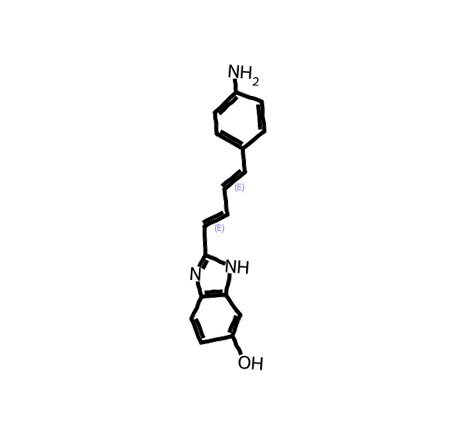 Nc1ccc(/C=C/C=C/c2nc3ccc(O)cc3[nH]2)cc1